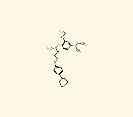 CCOc1cc(C(C)CC)ccc1OC(C)OCCOc1ccc(C2CCCCC2)cc1